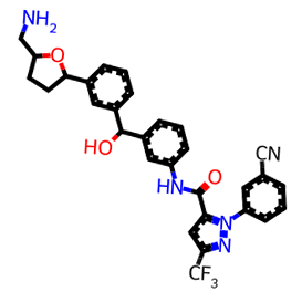 N#Cc1cccc(-n2nc(C(F)(F)F)cc2C(=O)Nc2cccc(C(O)c3cccc(C4CCC(CN)O4)c3)c2)c1